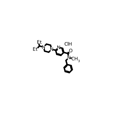 CCC(CC)N1CCN(c2ccc(C(=O)N(C)Cc3ccccc3)cn2)CC1.Cl